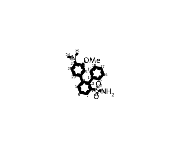 COc1cc(-c2cccc(S(N)(=O)=O)c2-c2ccccc2)ccc1N(C)C